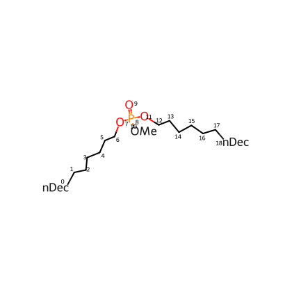 CCCCCCCCCCCCCCCCOP(=O)(OC)OCCCCCCCCCCCCCCCC